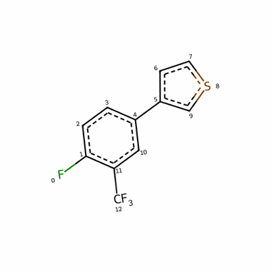 Fc1ccc(-c2ccsc2)cc1C(F)(F)F